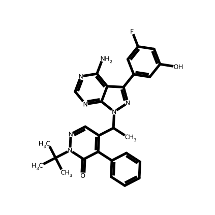 CC(c1cnn(C(C)(C)C)c(=O)c1-c1ccccc1)n1nc(-c2cc(O)cc(F)c2)c2c(N)ncnc21